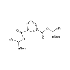 CCCCCCCCCC(CCC)OC(=O)c1cccc(C(=O)OC(CCC)CCCCCCCCC)c1